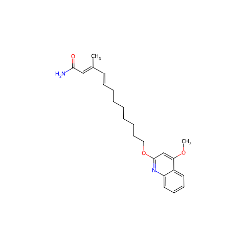 COc1cc(OCCCCCCCC=CC(C)=CC(N)=O)nc2ccccc12